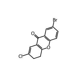 O=c1c2c(oc3ccc(Br)cc13)CCC(Cl)=C2